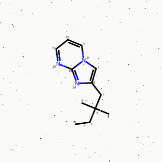 CCC(C)(C)Cc1cn2cccnc2n1